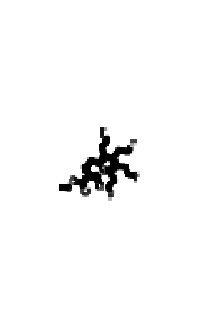 CCOC(=O)c1ccc2c(CCF)c(CCF)c(CCF)c(CCF)n2c1=O